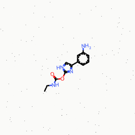 CCNC(=O)Oc1nc(-c2cccc(N)c2)c[nH]1